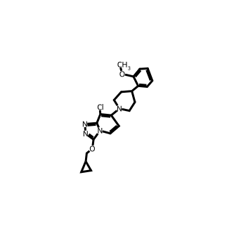 COc1ccccc1C1CCN(c2ccn3c(OCC4CC4)nnc3c2Cl)CC1